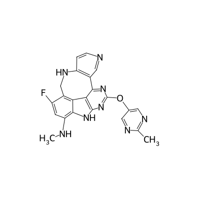 CNc1cc(F)c2c3c1[nH]c1nc(Oc4cnc(C)nc4)nc(c13)-c1cnccc1NC2